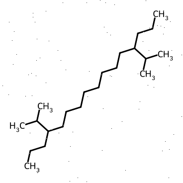 CCCC(CCCCCCCCC(CCC)C(C)C)C(C)C